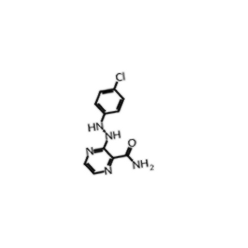 NC(=O)c1nccnc1NNc1ccc(Cl)cc1